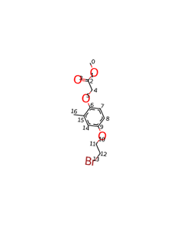 COC(=O)COc1ccc(OCCBr)cc1C